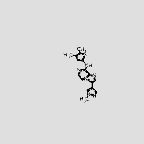 Cc1cc(Nc2nccn3c(-c4cnn(C)c4)cnc23)sc1C